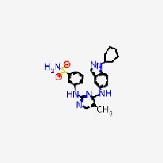 Cc1cnc(Nc2cccc(S(N)(=O)=O)c2)nc1Nc1ccc2c(cnn2C2CCCCC2)c1